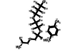 C[C@H](F)COCC(F)(F)OC(F)(F)C(F)(F)OC(F)(F)C(F)(F)C(F)(F)C(F)(F)F.Cc1ccc(S(=O)(=O)O)cc1